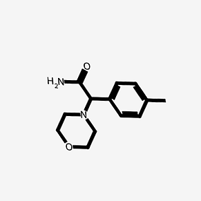 Cc1ccc(C(C(N)=O)N2CCOCC2)cc1